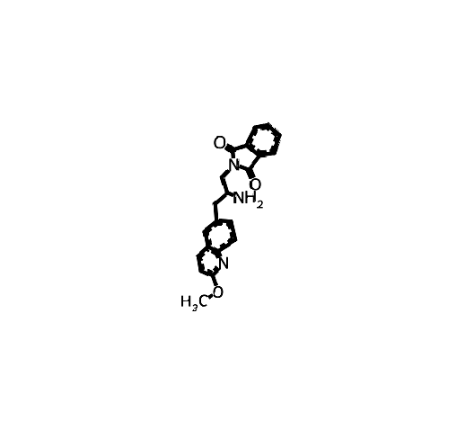 COc1ccc2cc(CC(N)CN3C(=O)c4ccccc4C3=O)ccc2n1